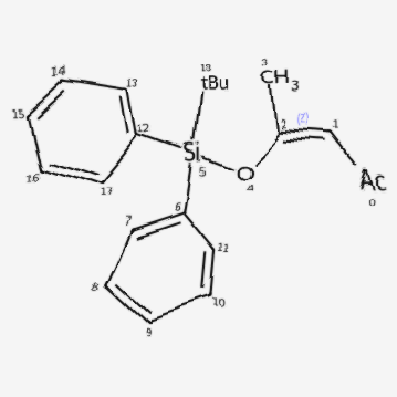 CC(=O)/C=C(/C)O[Si](c1ccccc1)(c1ccccc1)C(C)(C)C